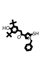 CC(C)(C)c1cc(CC(=O)c2cc(S)n(Cc3ccccc3)c2)cc(C(C)(C)C)c1O